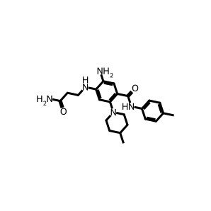 Cc1ccc(NC(=O)c2cc(N)c(NCCC(N)=O)cc2N2CCC(C)CC2)cc1